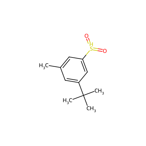 Cc1cc([SH](=O)=O)cc(C(C)(C)C)c1